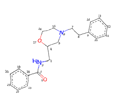 O=C(NCC1CN(CCc2ccccc2)CCO1)c1ccccc1